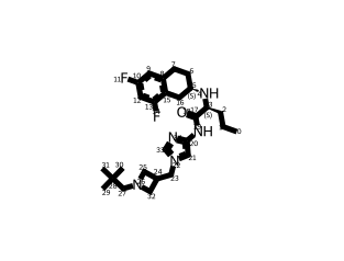 CCC[C@H](N[C@H]1CCc2cc(F)cc(F)c2C1)C(=O)Nc1cn(CC2CN(CC(C)(C)C)C2)cn1